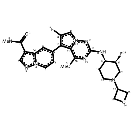 CNC(=O)c1cnn2ccc(-c3c(F)cn4nc(N[C@@H]5CCN(C6COC6)C[C@@H]5F)nc(OC)c34)cc12